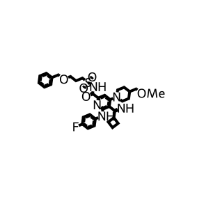 COCC1CCN(c2cc(C(=O)NS(=O)(=O)CCCOCc3ccccc3)nc(Nc3ccc(F)cc3)c2C(=N)C2CCC2)CC1